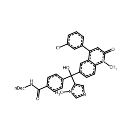 CCCCCCCCCCNC(=O)c1ccc(C(O)(c2ccc3c(c2)c(-c2cccc(Cl)c2)cc(=O)n3C)c2cncn2C)cc1